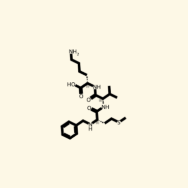 CSCC[C@H](NCc1ccccc1)C(=O)N[C@H](C(=O)N[C@@H](CCCCN)C(=O)O)C(C)C